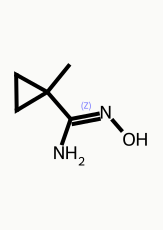 CC1(/C(N)=N/O)CC1